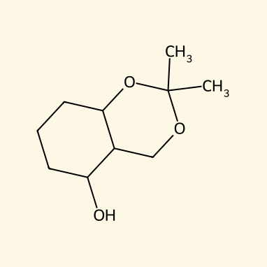 CC1(C)OCC2C(O)CCCC2O1